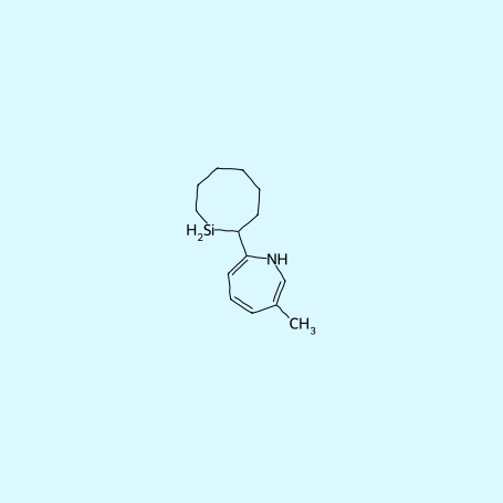 CC1=CNC(C2CCCCCC[SiH2]2)=CC=C1